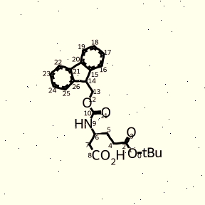 CC(C)(C)OC(=O)CC[C@@H](CC(=O)O)NC(=O)OCC1c2ccccc2-c2ccccc21